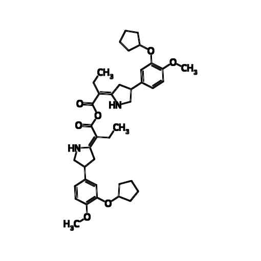 CCC(C(=O)OC(=O)C(CC)=C1CC(c2ccc(OC)c(OC3CCCC3)c2)CN1)=C1CC(c2ccc(OC)c(OC3CCCC3)c2)CN1